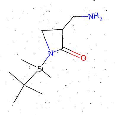 CC(C)(C)[Si](C)(C)N1CC(CN)C1=O